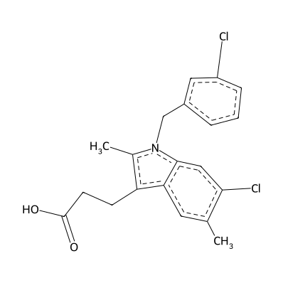 Cc1cc2c(CCC(=O)O)c(C)n(Cc3cccc(Cl)c3)c2cc1Cl